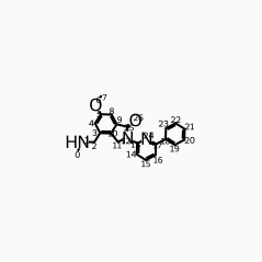 CNCc1cc(OC)cc2c1CN(c1cccc(-c3ccccc3)n1)C2=O